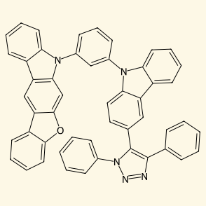 c1ccc(-c2nnn(-c3ccccc3)c2-c2ccc3c(c2)c2ccccc2n3-c2cccc(-n3c4ccccc4c4cc5c(cc43)oc3ccccc35)c2)cc1